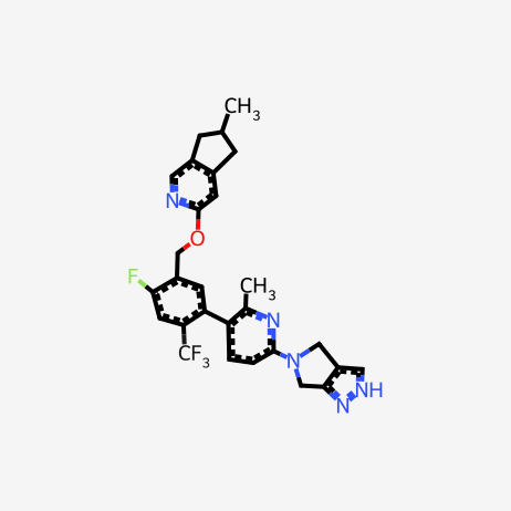 Cc1nc(N2Cc3c[nH]nc3C2)ccc1-c1cc(COc2cc3c(cn2)CC(C)C3)c(F)cc1C(F)(F)F